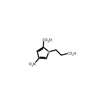 CCOC(=O)c1cc([N+](=O)[O-])cn1CCC(=O)O